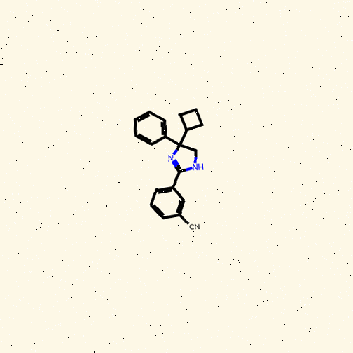 N#Cc1cccc(C2=NC(c3ccccc3)(C3CCC3)CN2)c1